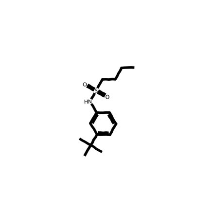 CCCCS(=O)(=O)Nc1cccc(C(C)(C)C)c1